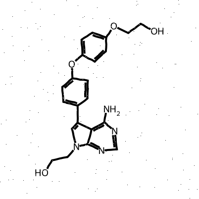 Nc1ncnc2c1c(-c1ccc(Oc3ccc(OCCO)cc3)cc1)cn2CCO